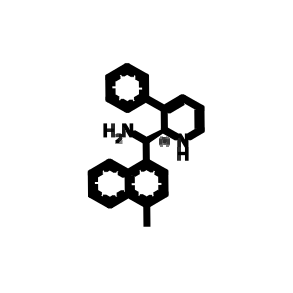 Cc1ccc(C(N)[C@@H]2NC=CC=C2c2ccccc2)c2ccccc12